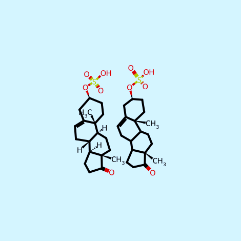 C[C@]12CC[C@H](OS(=O)(=O)O)CC1=CCC1C2CC[C@]2(C)C(=O)CCC12.C[C@]12CC[C@H](OS(=O)(=O)O)CC1=CC[C@@H]1[C@@H]2CC[C@]2(C)C(=O)CC[C@@H]12